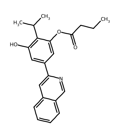 CCCC(=O)Oc1cc(-c2cc3ccccc3cn2)cc(O)c1C(C)C